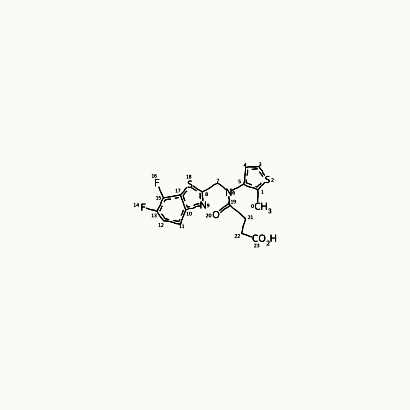 Cc1sccc1N(Cc1nc2ccc(F)c(F)c2s1)C(=O)CCC(=O)O